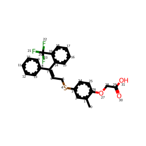 Cc1cc(SCC=C(c2ccccc2)c2ccccc2C(F)(F)F)ccc1OCC(=O)O